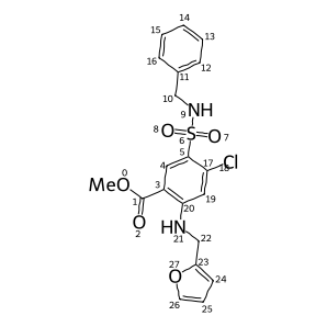 COC(=O)c1cc(S(=O)(=O)NCc2ccccc2)c(Cl)cc1NCc1ccco1